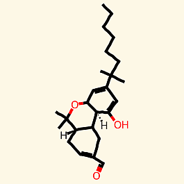 CCCCCCC(C)(C)C1=CC2OC(C)(C)[C@H]3CC=C(C=O)CC3[C@@H]2C(O)=C1